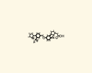 O=C(O)CC1CCC2=c3cc(OCc4ccc(C5CCCC5)c(C(F)(F)F)c4)ccc3=NC21